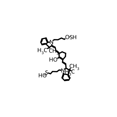 CC1(C)/C(=C\C=C2/CCCC(/C=C/C3N(CCCCSO)c4ccccc4C3(C)C)=C2O)N(CCCCOS)c2ccccc21